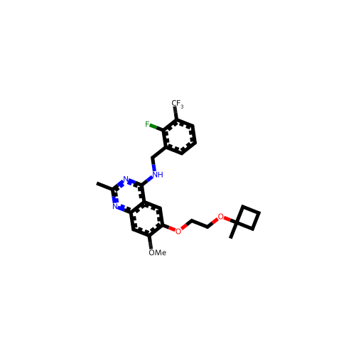 COc1cc2nc(C)nc(NCc3cccc(C(F)(F)F)c3F)c2cc1OCCOC1(C)CCC1